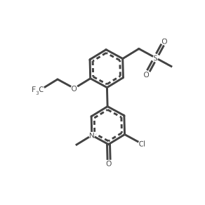 Cn1cc(-c2cc(CS(C)(=O)=O)ccc2OCC(F)(F)F)cc(Cl)c1=O